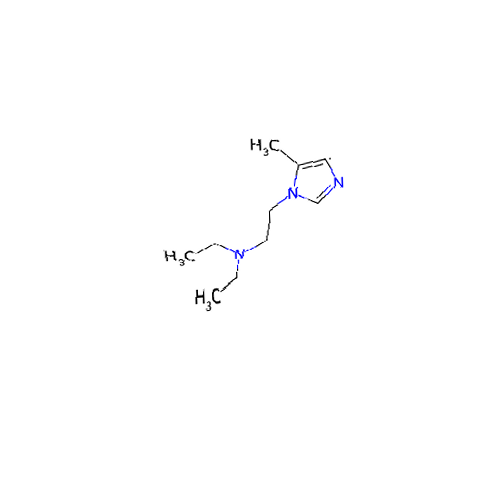 CCN(CC)CCn1cn[c]c1C